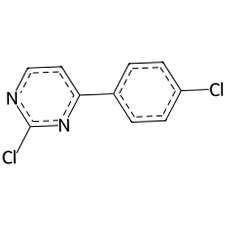 Clc1ccc(-c2ccnc(Cl)n2)cc1